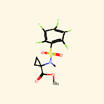 CN(C1(C(=O)OC(C)(C)C)CC1)S(=O)(=O)c1c(F)c(F)c(F)c(F)c1F